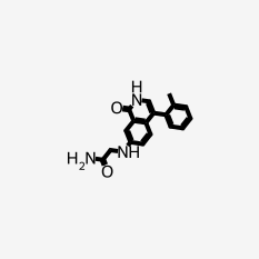 Cc1ccccc1-c1c[nH]c(=O)c2cc(NCC(N)=O)ccc12